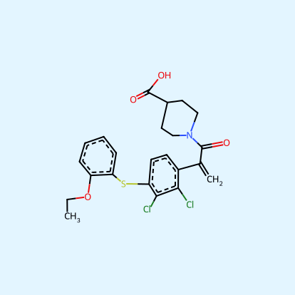 C=C(C(=O)N1CCC(C(=O)O)CC1)c1ccc(Sc2ccccc2OCC)c(Cl)c1Cl